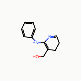 OCC1=C(Nc2ccccc2)N=CCC1